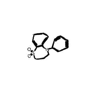 O=S1(=O)CCCN(c2ccccc2)c2cc[c]cc21